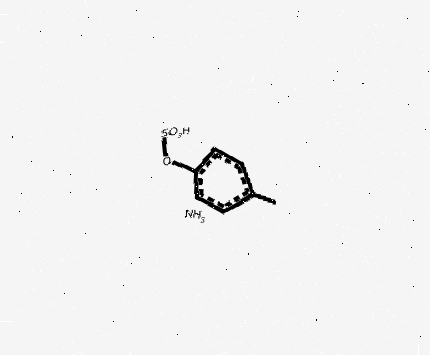 Cc1ccc(OS(=O)(=O)O)cc1.N